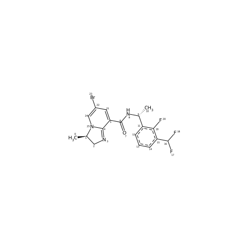 C[C@@H]1CN=C2C(C(=O)N[C@H](C)c3cccc(C(F)F)c3F)=CC(Br)=CN21